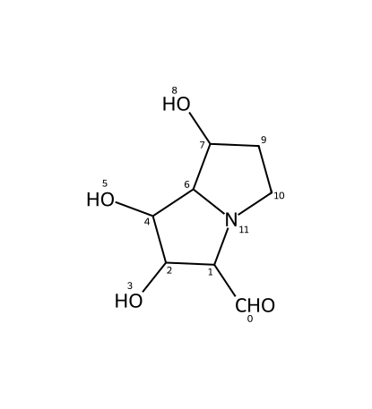 O=CC1C(O)C(O)C2C(O)CCN12